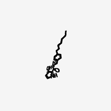 CCCCCCCc1ccc(CNC(=O)[C@H]2NCC[C@@H]2O)cc1